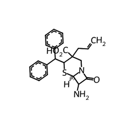 C=CCC1(C(=O)O)CN2C(=O)C(N)[C@H]2SC1C(c1ccccc1)c1ccccc1